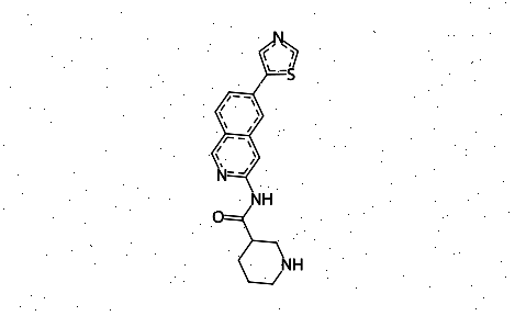 O=C(Nc1cc2cc(-c3cncs3)ccc2cn1)C1CCCNC1